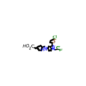 O=C(O)Cc1ccc(CNc2ccc3c(c2)c(-c2ccc(Cl)s2)nn3CC(F)F)cc1